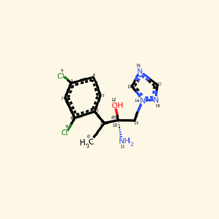 C[C](c1ccc(Cl)cc1Cl)[C@@](N)(O)Cn1cncn1